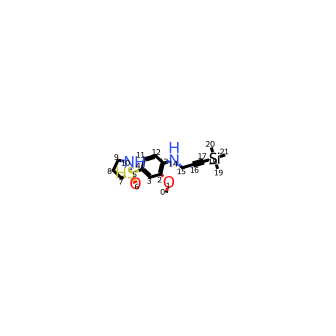 COc1cc([SH]2(=O)CCCN2)ccc1NCC#C[Si](C)(C)C